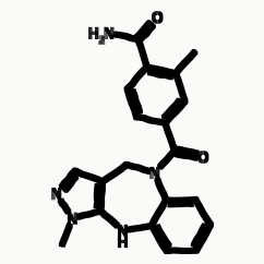 Cc1cc(C(=O)N2Cc3cnn(C)c3Nc3ccccc32)ccc1C(N)=O